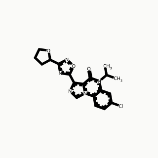 CC(C)n1c(=O)c2c(-c3nc(C4CCCO4)no3)ncn2c2ccc(Cl)cc21